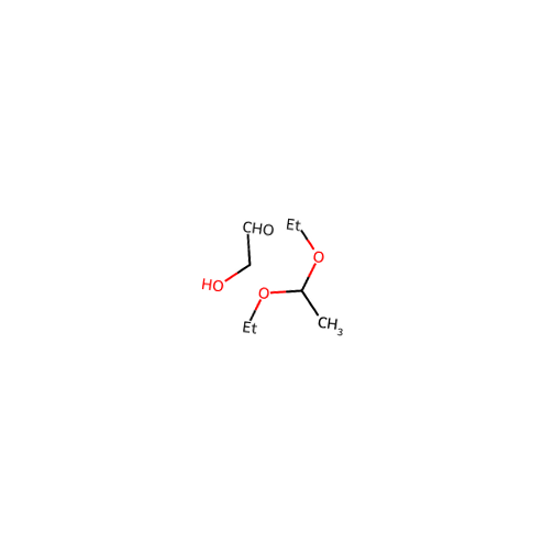 CCOC(C)OCC.O=CCO